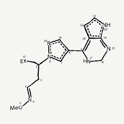 CCC(C/C=N/OC)n1cc(C2=c3cc[nH]c3=NCN2)cn1